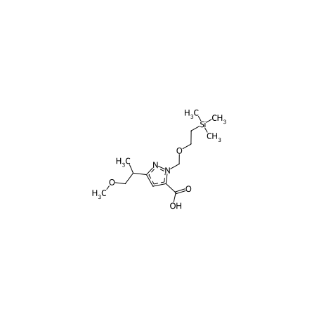 COCC(C)c1cc(C(=O)O)n(COCC[Si](C)(C)C)n1